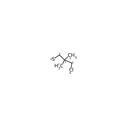 CC(C)(C[S])CCl